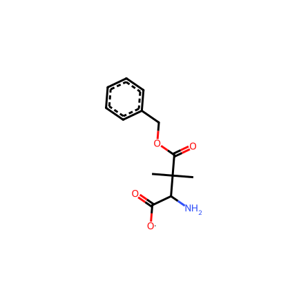 CC(C)(C(=O)OCc1ccccc1)C(N)C([O])=O